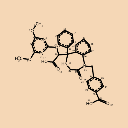 COc1cc(OC)nc(OC(C(=O)O)C2(c3ccccc3)NCC(=O)N(Cc3ccc(C(=O)O)cc3)c3ccccc32)n1